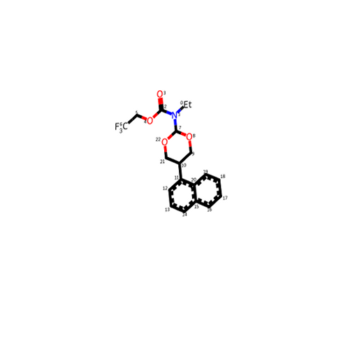 CCN(C(=O)OCC(F)(F)F)C1OCC(c2cccc3ccccc23)CO1